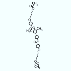 C=CC(=O)OCCCCCCOc1ccc(C(=O)Oc2ccc(-c3cc(C)c(OC(=O)c4ccc(OCCCCCCOC(=O)C=C)cc4)c(C)c3)cc2)cc1